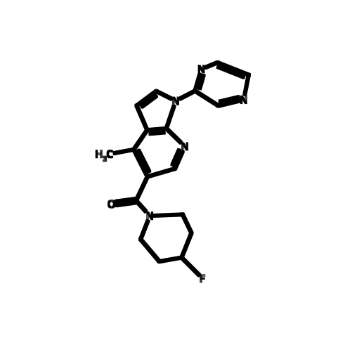 Cc1c(C(=O)N2CCC(F)CC2)cnc2c1ccn2-c1cnccn1